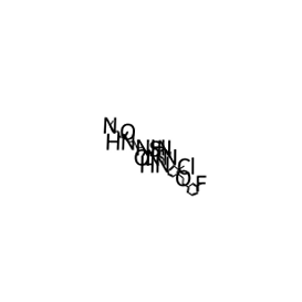 CN(C)CC=CC(=O)NCCNC(=O)c1nc2c(Nc3ccc(OCc4cccc(F)c4)c(Cl)c3)ncnc2s1